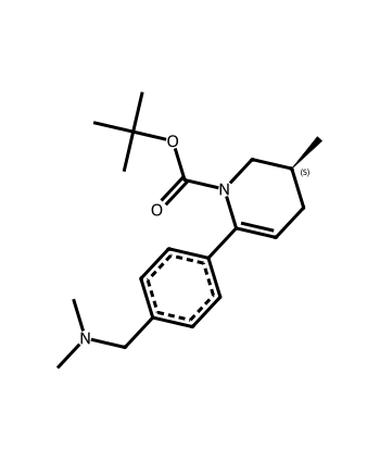 C[C@H]1CC=C(c2ccc(CN(C)C)cc2)N(C(=O)OC(C)(C)C)C1